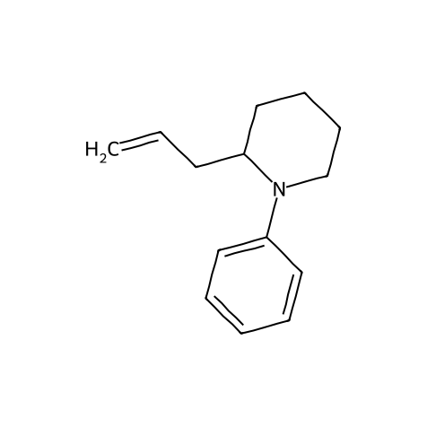 C=CCC1CCCCN1c1ccccc1